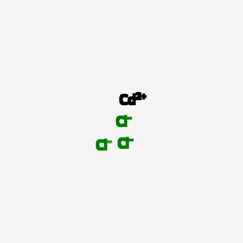 [Cd+2].[Cl-].[Cl-].[Cl-]